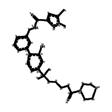 Cc1cc(C(=O)NCc2cccc(-c3ccc(C(C)(C)CCCCC(=O)N4CCOCC4)cc3O)c2)nn1C